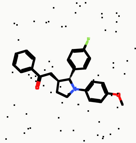 COc1ccc(N2CC[C@@H](CC(=O)c3ccccc3)[C@@H]2c2ccc(F)cc2)cc1